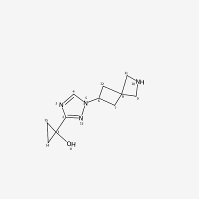 OC1(c2ncn(C3CC4(CNC4)C3)n2)CC1